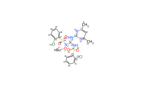 CCCCO[N+](=C(Nc1nc(C)cc(C)n1)NS(=O)(=O)c1ccccc1Cl)S(=O)(=O)c1ccccc1Cl